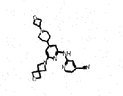 N#Cc1ccnc(Nc2cc(C3CCN(C4COC4)CC3)cc(N3CC4(COC4)C3)n2)c1